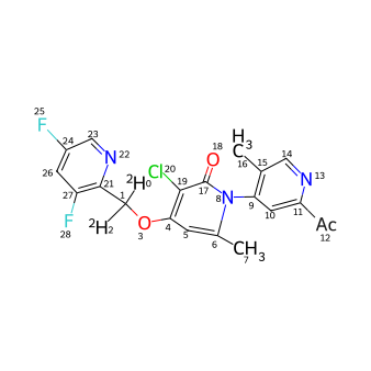 [2H]C([2H])(Oc1cc(C)n(-c2cc(C(C)=O)ncc2C)c(=O)c1Cl)c1ncc(F)cc1F